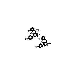 COc1cccc(C(O)c2cc(-c3ccc(Cl)cc3)cnc2OC)c1OC.COc1cccc(Cc2cc(-c3ccc(Cl)cc3)cnc2OC)c1OC